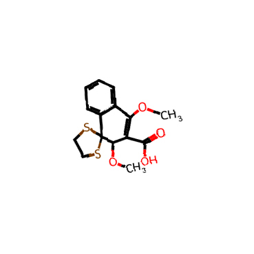 COC1=C(C(=O)O)C(OC)C2(SCCS2)c2ccccc21